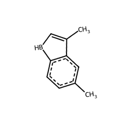 CC1=CBc2ccc(C)cc21